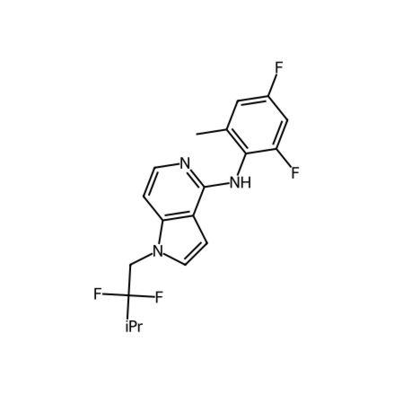 Cc1cc(F)cc(F)c1Nc1nccc2c1ccn2CC(F)(F)C(C)C